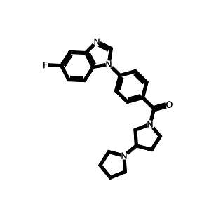 O=C(c1ccc(-n2cnc3cc(F)ccc32)cc1)N1CCC(N2CCCC2)C1